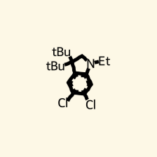 CCN1CC(C(C)(C)C)(C(C)(C)C)c2cc(Cl)c(Cl)cc21